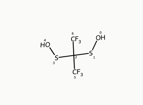 OSC(SO)(C(F)(F)F)C(F)(F)F